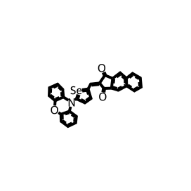 O=C1C(=Cc2ccc(N3c4ccccc4Oc4ccccc43)[se]2)C(=O)c2cc3ccccc3cc21